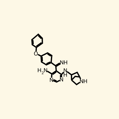 N=C(c1ccc(Oc2ccccc2)cc1)c1c(N)ncnc1NC1CC2CC1CN2